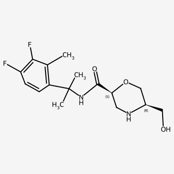 Cc1c(C(C)(C)NC(=O)[C@@H]2CN[C@H](CO)CO2)ccc(F)c1F